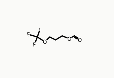 O=COCCCOC(F)(F)I